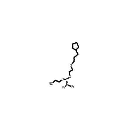 CC(C)N(C(C)C)P(OCCC#N)OCCOCCCC1CCCC1